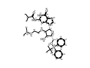 CC(C)C(=O)Nc1nc2c(ncn2[C@@H]2O[C@H](CO[Si](c3ccccc3)(c3ccccc3)C(C)(C)C)C(O)C2OCCON(C)C)c(=O)[nH]1